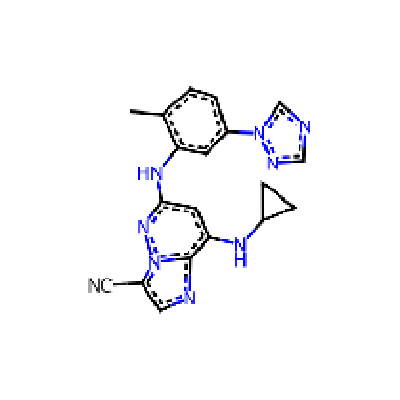 Cc1ccc(-n2cncn2)cc1Nc1cc(NC2CC2)c2ncc(C#N)n2n1